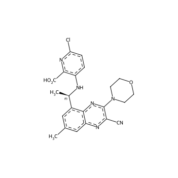 Cc1cc([C@@H](C)Nc2ccc(Cl)nc2C(=O)O)c2nc(N3CCOCC3)c(C#N)nc2c1